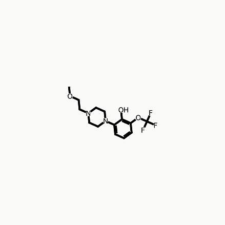 COCCN1CCN(c2cccc(OC(F)(F)F)c2O)CC1